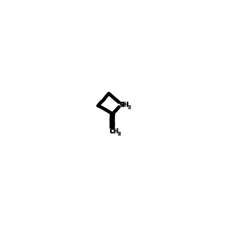 C=C1CC[SiH2]1